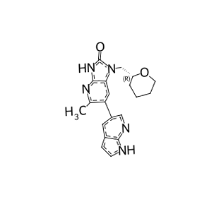 Cc1nc2[nH]c(=O)n(C[C@H]3CCCCO3)c2cc1-c1cnc2[nH]ccc2c1